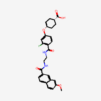 COc1ccc2ccc(C(=O)NCCNC(=O)c3ccc(O[C@H]4CC[C@@H](C(=O)O)CC4)cc3F)cc2c1